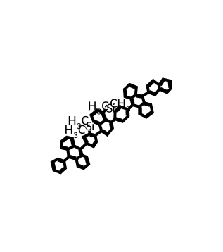 C[Si]1(C)c2cc(-c3c4ccccc4c(-c4ccccc4)c4ccccc34)ccc2-c2ccc3c4c(ccc1c24)[Si](C)(C)c1cc(-c2c4ccccc4c(-c4ccc5ccccc5c4)c4ccccc24)ccc1-3